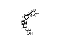 CN(CCC(=O)O)c1nc(-c2ccc(O[C@H]3CC[C@H](C)CC3)cc2)cs1